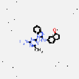 Cc1nc(N)nc(-n2c(Nc3ccc4c(c3)C(=O)CC4)nc3ccccc32)n1